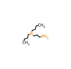 CCCCP(CCCC)CCCP